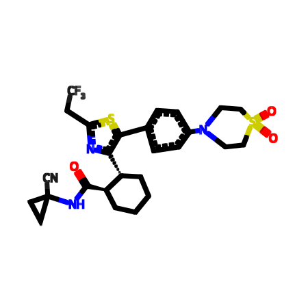 N#CC1(NC(=O)[C@@H]2CCCC[C@H]2c2nc(CC(F)(F)F)sc2-c2ccc(N3CCS(=O)(=O)CC3)cc2)CC1